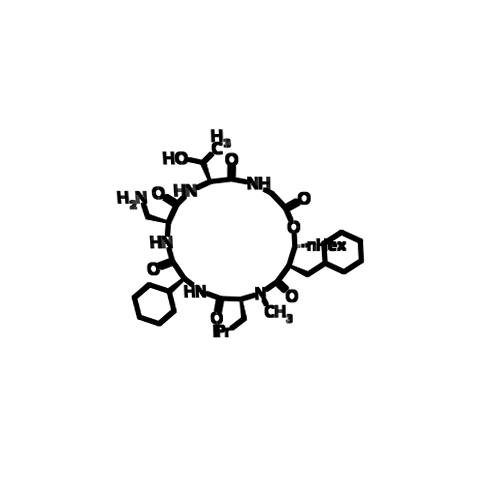 CCCCCC[C@H]1OC(=O)CNC(=O)[C@H](C(C)O)NC(=O)[C@H](CN)NC(=O)[C@H](C2CCCCC2)NC(=O)[C@H](CC(C)C)N(C)C(=O)[C@@H]1CC1CCCCC1